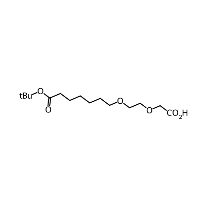 CC(C)(C)OC(=O)CCCCCCOCCOCC(=O)O